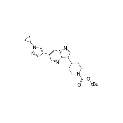 CC(C)(C)OC(=O)N1CCC(c2cnn3cc(-c4cnn(C5CC5)c4)cnc23)CC1